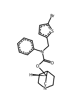 O=C(O[C@H]1CN2CCC1CC2)N(Cc1ccc(Br)s1)c1ccccc1